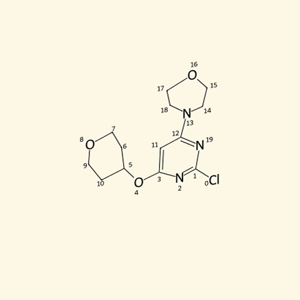 Clc1nc(OC2CCOCC2)cc(N2CCOCC2)n1